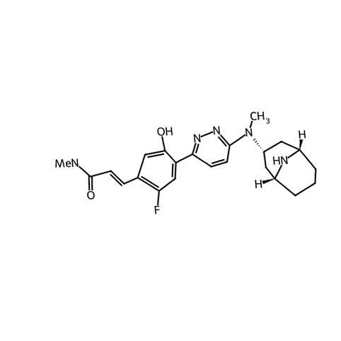 CNC(=O)/C=C/c1cc(O)c(-c2ccc(N(C)[C@H]3C[C@H]4CCC[C@@H](C3)N4)nn2)cc1F